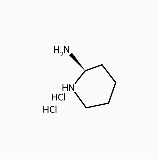 Cl.Cl.N[C@H]1CCCCN1